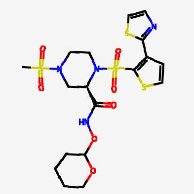 CS(=O)(=O)N1CCN(S(=O)(=O)c2sccc2-c2nccs2)[C@@H](C(=O)NOC2CCCCO2)C1